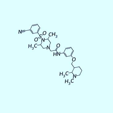 CC1C(COc2cccc(NC(=O)CN3CC(C)N(S(=O)(=O)c4cccc(C#N)c4)C(C)C3)c2)CCCN1C